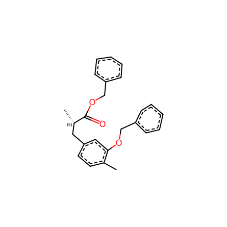 Cc1ccc(C[C@H](C)C(=O)OCc2ccccc2)cc1OCc1ccccc1